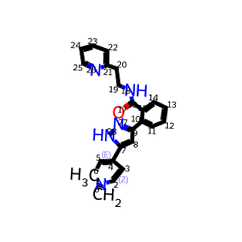 C=N/C=C\C(=C/C)c1cc(-c2ccccc2C(=O)NCCc2ccccn2)n[nH]1